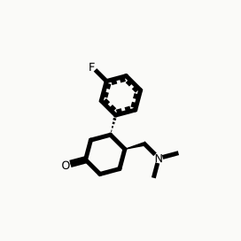 CN(C)C[C@H]1CCC(=O)C[C@@H]1c1cccc(F)c1